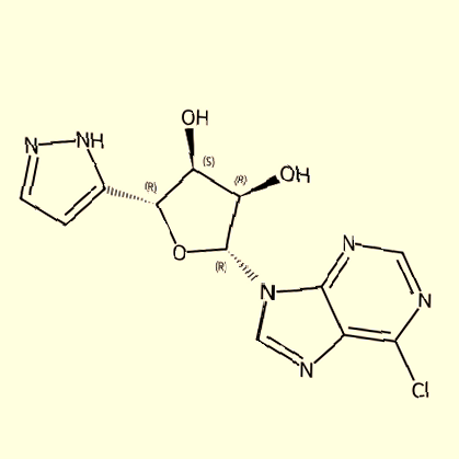 O[C@@H]1[C@H](O)[C@@H](c2ccn[nH]2)O[C@H]1n1cnc2c(Cl)ncnc21